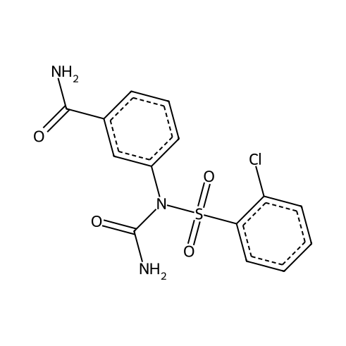 NC(=O)c1cccc(N(C(N)=O)S(=O)(=O)c2ccccc2Cl)c1